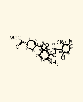 COC(=O)N1CC=C(c2coc3c(O[C@H](C)c4c(Cl)ccc(F)c4Cl)c(N)ncc23)CC1